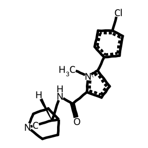 Cn1c(C(=O)N[C@H]2CN3CCC2CC3)ccc1-c1ccc(Cl)cc1